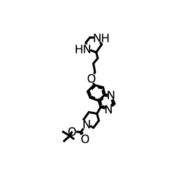 CC(C)(C)OC(=O)N1CCC(c2ncnc3cc(OCCCC4CNCCN4)ccc23)CC1